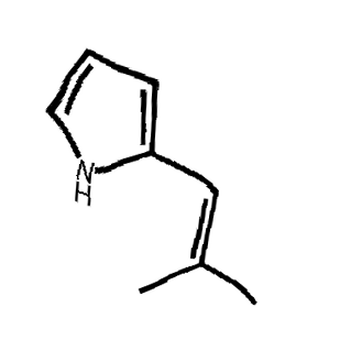 CC(C)=Cc1ccc[nH]1